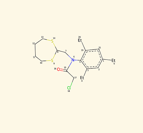 CCc1cc(CC)c(N(CC2SCCCCS2)C(=O)CCl)c(CC)c1